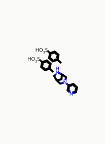 Cc1ccc(S(=O)(=O)O)cc1.Cc1ccc(S(=O)(=O)O)cc1.c1cncc(N2CC3CNC(C3)C2)c1